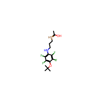 CC(O)=[SH]CCCNc1c(F)c(F)c(OC(C)(C)C)c(F)c1F